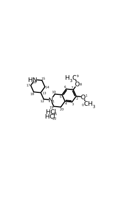 COc1cc2c(cc1OC)CN(CC1CCNCC1)CC2.Cl.Cl